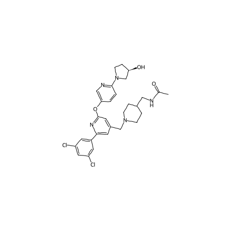 CC(=O)NCC1CCN(Cc2cc(Oc3ccc(N4CC[C@@H](O)C4)nc3)nc(-c3cc(Cl)cc(Cl)c3)c2)CC1